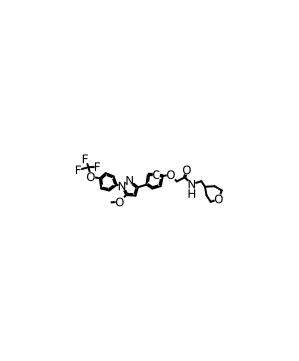 COc1cc(-c2ccc(OCC(=O)NCC3CCOCC3)cc2)nn1-c1ccc(OC(F)(F)F)cc1